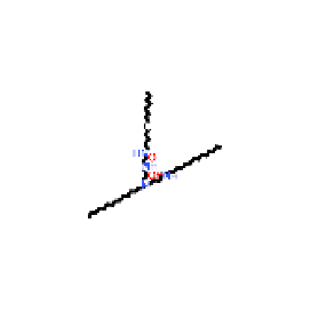 CCCCCCCCCCCCCCCN(CCCCNCCCCCCCCCCCCCC)CC(O)CNCC(=O)NCCCCCCCCCCCCCC